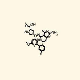 COc1cccc(-c2cc(F)ccc2[C@H]2Cc3nc(N)nc(C)c3/C(=N/O[C@H]3CN[C@H](C(O)OC)C3)N2)n1